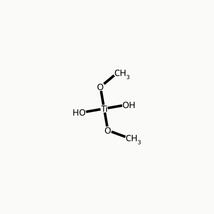 C[O][Ti]([OH])([OH])[O]C